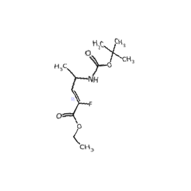 CCOC(=O)/C(F)=C/C(C)NC(=O)OC(C)(C)C